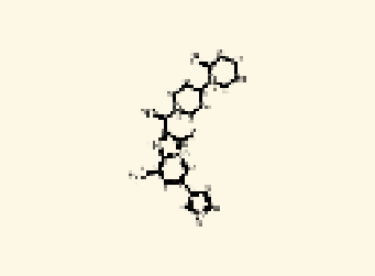 O=C(c1nc2c(C(F)(F)F)cc(-c3ccoc3)cn2c1Cl)N1CCC(N2CCCCC2=O)CC1